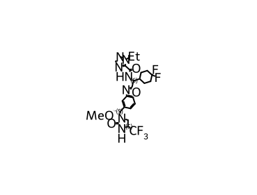 CCn1ncnc1C(=O)N[C@H](c1nc2cc([C@@H](COC)N3C[C@@H](C(F)(F)F)NC3=O)ccc2o1)C1CCC(F)(F)CC1